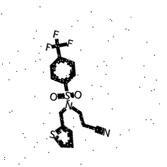 N#CCCN(Cc1cccs1)S(=O)(=O)c1ccc(C(F)(F)F)cc1